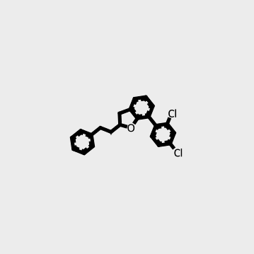 Clc1ccc(-c2cccc3c2OC([CH]Cc2ccccc2)C3)c(Cl)c1